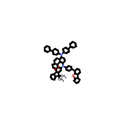 CC1(C)c2ccccc2-c2ccc(N(c3ccc(-c4cccc5c4oc4ccccc45)cc3)c3ccc(N(c4ccc(-c5ccccc5)cc4)c4ccc(-c5ccccc5)cc4)c4ccc5ccccc5c34)cc21